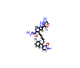 Cn1cccc(C(CC#CC#Cc2c(C(N)=O)cnc3[nH]c([C@]4(C)CNCCO4)cc23)c2cc(F)ccc2F)c1=O